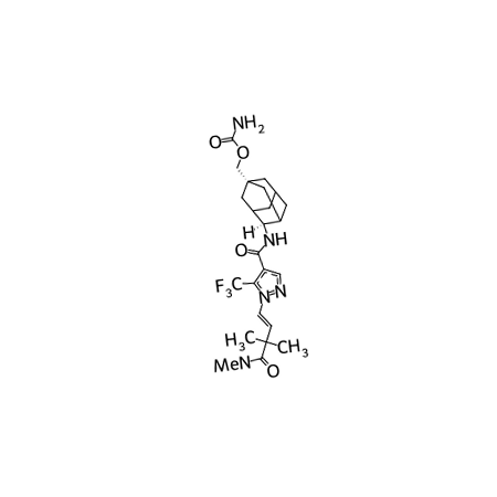 CNC(=O)C(C)(C)/C=C/n1ncc(C(=O)N[C@H]2C3CC4CC2C[C@](COC(N)=O)(C4)C3)c1C(F)(F)F